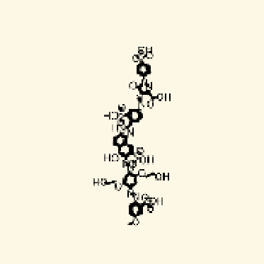 COc1ccc(/N=N/c2cc(OCCO)c(/N=N/c3c(S(=O)(=O)O)cc4c(ccc5[nH]c(-c6ccc(/N=N/C7C(=O)N(c8ccc(S(=O)(=O)O)cc8)N=C7C(=O)O)cc6S(=O)(=O)O)nc54)c3O)cc2OCCO)c(S(=O)(=O)O)c1